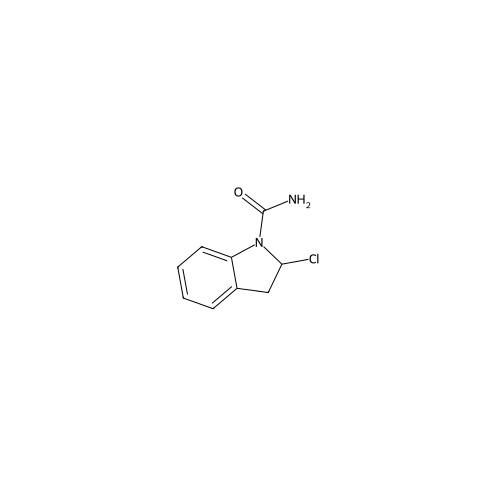 NC(=O)N1c2ccccc2CC1Cl